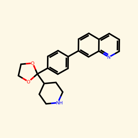 c1cnc2cc(-c3ccc(C4(C5CCNCC5)OCCO4)cc3)ccc2c1